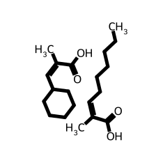 CC(=CC1CCCCC1)C(=O)O.CCCCCCC=C(C)C(=O)O